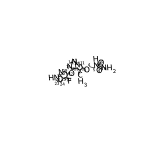 Cc1c(OCCNS(N)(=O)=O)cn2ncnc(Oc3cnc4[nH]ccc4c3F)c12